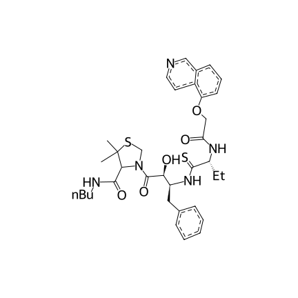 CCCCNC(=O)C1N(C(=O)[C@@H](O)[C@H](Cc2ccccc2)NC(=S)[C@@H](CC)NC(=O)COc2cccc3cnccc23)CSC1(C)C